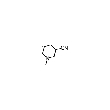 CN1C[CH]CC(C#N)C1